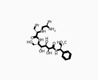 CC(C)C[C@H](NC[C@H](N)C(C)C)C(=O)N[C@@H](CO)[C@@H](O)[C@@H](O)[C@H](O)C(=O)N[C@@H](CC(=O)O)c1ccccc1